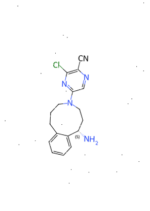 N#Cc1ncc(N2CCCc3ccccc3[C@@H](N)CC2)nc1Cl